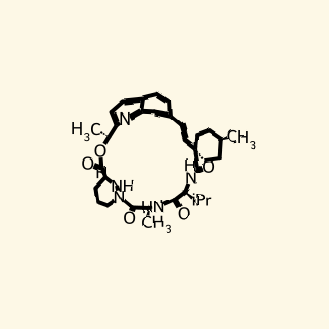 CC(C)[C@@H]1NC(=O)[C@]2(/C=C/c3ccc4ccc(nc4c3)[C@@H](C)OC(=O)[C@@H]3CCCN(N3)C(=O)[C@H](C)NC1=O)CC[C@H](C)CC2